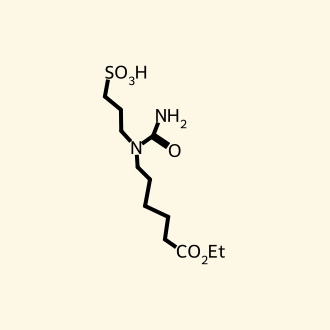 CCOC(=O)CCCCCN(CCCS(=O)(=O)O)C(N)=O